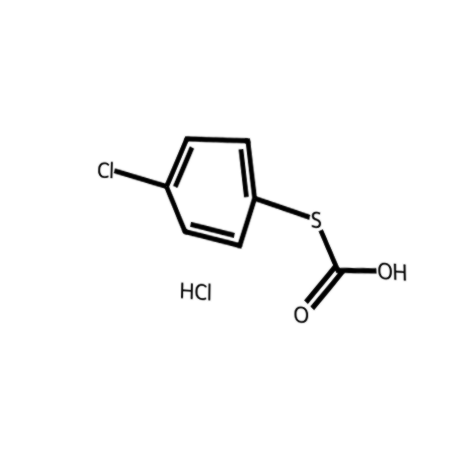 Cl.O=C(O)Sc1ccc(Cl)cc1